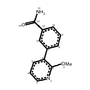 COc1ncccc1-c1cccc(C(N)=O)c1